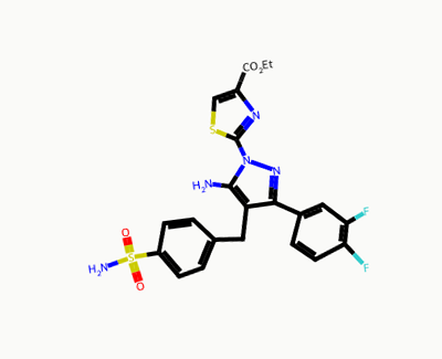 CCOC(=O)c1csc(-n2nc(-c3ccc(F)c(F)c3)c(Cc3ccc(S(N)(=O)=O)cc3)c2N)n1